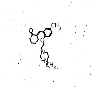 Cc1ccc(OCCN2CCN(C)CC2)c(/C=C2\CCCCC2=O)c1